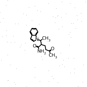 CC(=O)CCC(C(N)=O)C(C)n1ccc2ccccc21